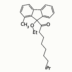 CCOC1(C(=O)CCCCCCC(C)C)c2ccccc2-c2cccc(C)c21